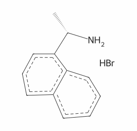 Br.C[C@H](N)c1cccc2ccccc12